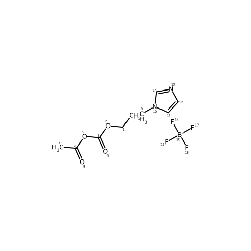 CCOC(=O)OC(C)=O.Cn1ccnc1.F[B-](F)(F)F